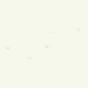 O=C(O)c1ccccc1C(=O)NCC(S)CS